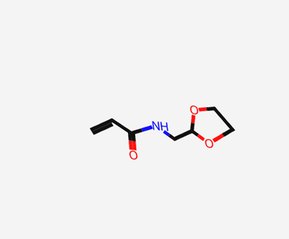 C=CC(=O)NCC1OCCO1